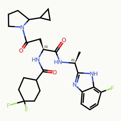 C[C@H](NC(=O)[C@H](CC(=O)N1CCCC1C1CC1)NC(=O)C1CCC(F)(F)CC1)c1nc2cccc(F)c2[nH]1